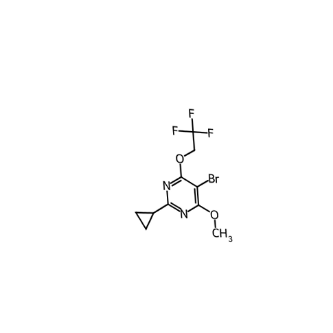 COc1nc(C2CC2)nc(OCC(F)(F)F)c1Br